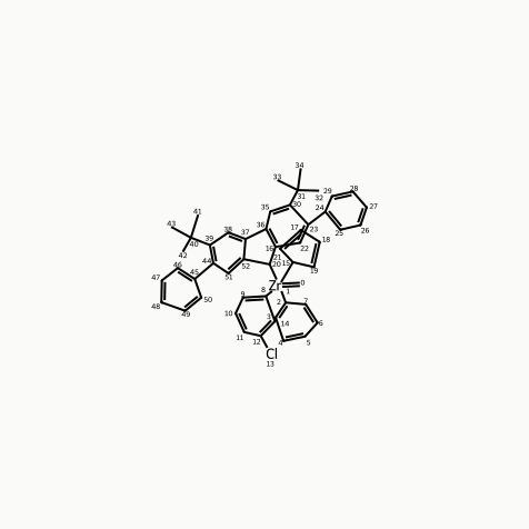 [CH2]=[Zr]([c]1ccccc1)([c]1cccc(Cl)c1)([CH]1C=CC=C1)[CH]1c2cc(-c3ccccc3)c(C(C)(C)C)cc2-c2cc(C(C)(C)C)c(-c3ccccc3)cc21